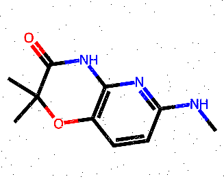 CNc1ccc2c(n1)NC(=O)C(C)(C)O2